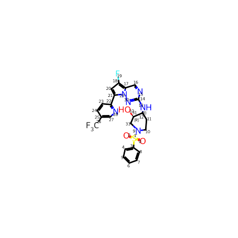 O=S(=O)(c1ccccc1)N1CC[C@@H](Nc2ncc3c(F)cc(-c4ccc(C(F)(F)F)cn4)n3n2)[C@H](O)C1